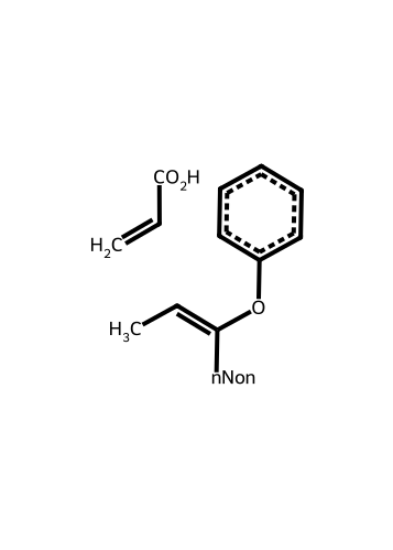 C=CC(=O)O.CC=C(CCCCCCCCC)Oc1ccccc1